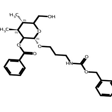 C[C@@H]1C(CO)O[C@H](OCCCNC(=O)OCc2ccccc2)C(OC(=O)c2ccccc2)[C@H]1C